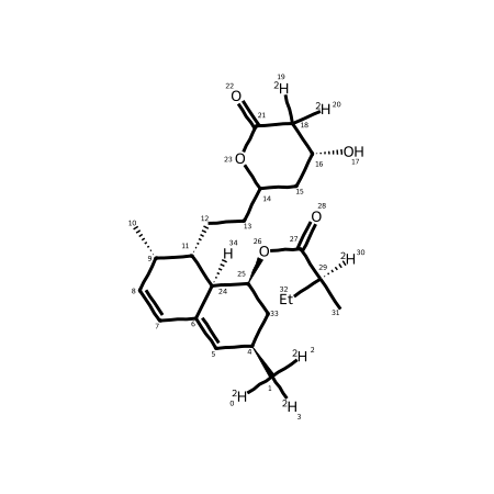 [2H]C([2H])([2H])[C@H]1C=C2C=C[C@H](C)[C@H](CCC3C[C@@H](O)C([2H])([2H])C(=O)O3)[C@H]2[C@@H](OC(=O)[C@@]([2H])(C)CC)C1